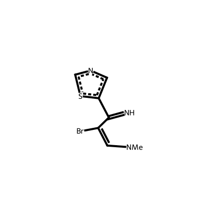 CN/C=C(/Br)C(=N)c1cncs1